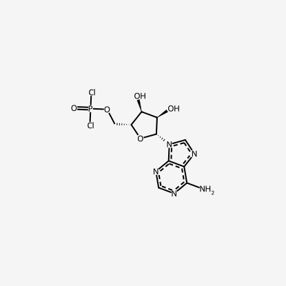 Nc1ncnc2c1ncn2[C@@H]1O[C@H](COP(=O)(Cl)Cl)[C@@H](O)[C@H]1O